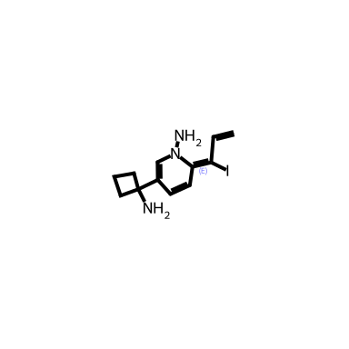 C=C/C(I)=C1/C=CC(C2(N)CCC2)=CN1N